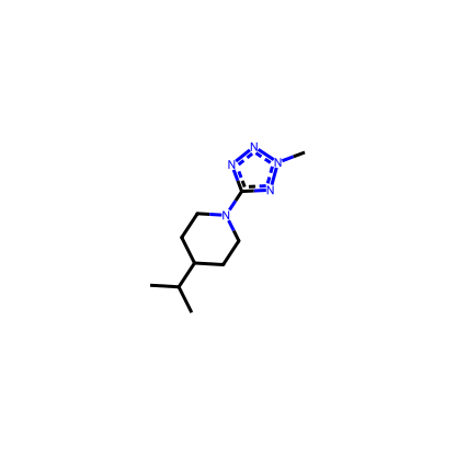 CC(C)C1CCN(c2nnn(C)n2)CC1